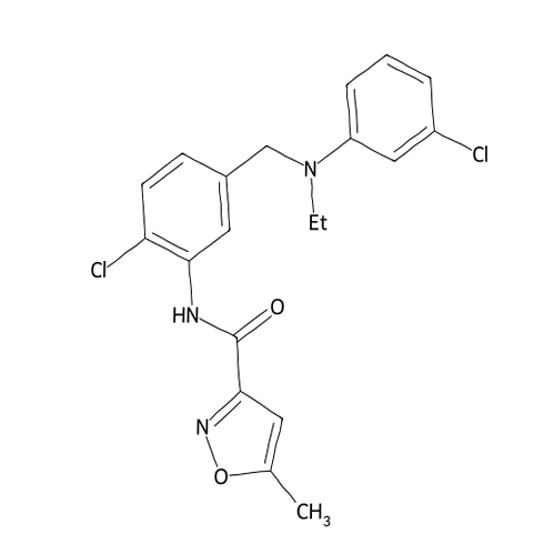 CCN(Cc1ccc(Cl)c(NC(=O)c2cc(C)on2)c1)c1cccc(Cl)c1